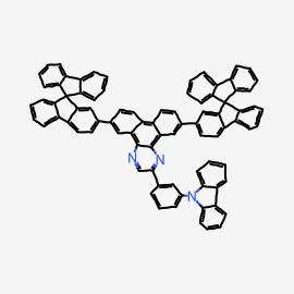 c1cc(-c2cnc3c4cc(-c5ccc6c(c5)C5(c7ccccc7-c7ccccc75)c5ccccc5-6)ccc4c4ccc(-c5ccc6c(c5)C5(c7ccccc7-c7ccccc75)c5ccccc5-6)cc4c3n2)cc(-n2c3ccccc3c3ccccc32)c1